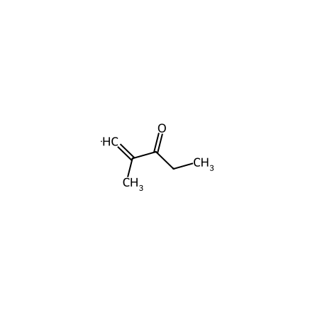 [CH]=C(C)C(=O)CC